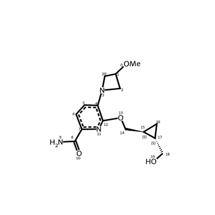 COC1CN(c2ccc(C(N)=O)nc2OC[C@H]2C[C@@H]2CO)C1